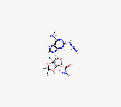 CNC(=O)[C@H]1O[C@@H](n2cnc3c(NC)nc(N=[N+]=[N-])nc32)[C@@H]2OC(C)(C)O[C@@H]21